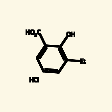 CCc1cccc(C(=O)O)c1O.Cl